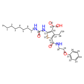 CCCCCCCCNC(=O)Nc1sc(C(=O)NCCOc2ccccc2)c(CC)c1C(=O)O